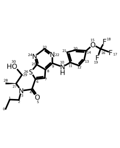 CCCN(C(=O)c1cc2c(Nc3ccc(OC(F)(F)F)cc3)ncnc2s1)[C@@H](C)CO